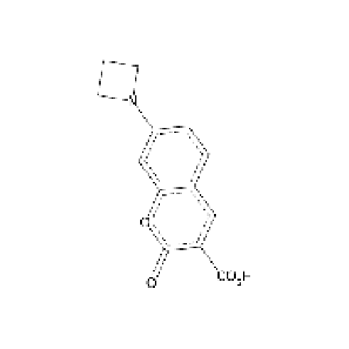 O=C(O)c1cc2ccc(N3CCC3)cc2oc1=O